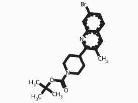 Cc1cc2ccc(Br)cc2nc1C1CCN(C(=O)OC(C)(C)C)CC1